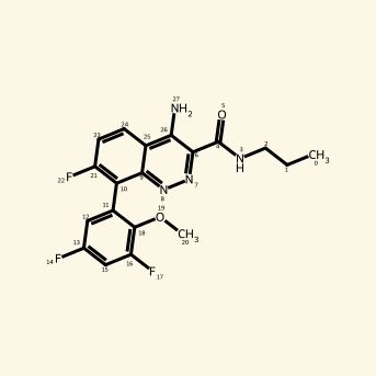 CCCNC(=O)c1nnc2c(-c3cc(F)cc(F)c3OC)c(F)ccc2c1N